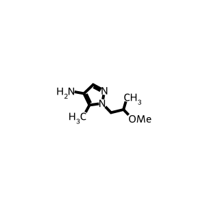 COC(C)Cn1ncc(N)c1C